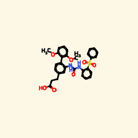 COc1cccc(OC)c1-c1ccc(CCC(=O)O)cc1NC(=O)Nc1ccccc1S(=O)(=O)c1ccccc1